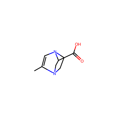 CC1=CN2CCN1CC2C(=O)O